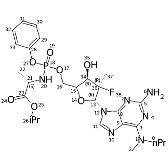 CCCN(C)c1nc(N)nc2c1ncn2[C@@H]1OC(COP(=O)(N[C@@H](C)C(=O)OC(C)C)Oc2ccccc2)[C@@H](O)[C@@]1(C)F